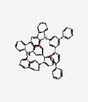 c1ccc(-c2ccc(-c3cc(-c4ccccc4)cc(-n4c5ccccc5c5cc(-c6ccccc6N(c6ccccc6)c6cccc(-c7ccccc7-c7ccccc7)c6)ccc54)c3)cc2)cc1